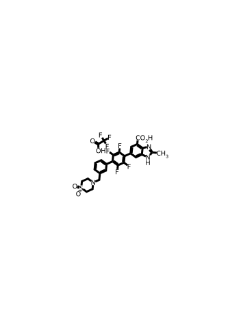 Cc1nc2c(C(=O)O)cc(-c3c(F)c(F)c(-c4cccc(CN5CCS(=O)(=O)CC5)c4)c(F)c3F)cc2[nH]1.O=C(O)C(F)(F)F